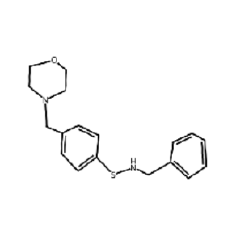 c1ccc(CNSc2ccc(CN3CCOCC3)cc2)cc1